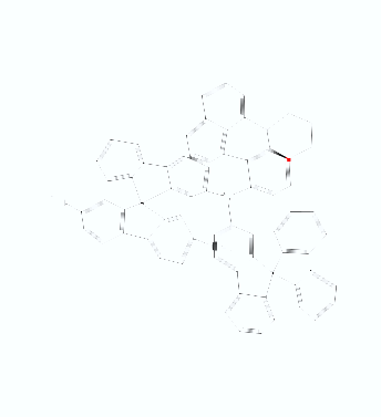 CC(C)(C)c1ccc2c(c1)C1(c3ccccc3-c3ccc(N(c4ccc5c(c4)C(c4ccccc4)(c4ccccc4)c4ccccc4-5)c4ccccc4-c4cccc5cccc(C6CCCCC6)c45)cc31)c1cc(C(C)(C)C)ccc1-2